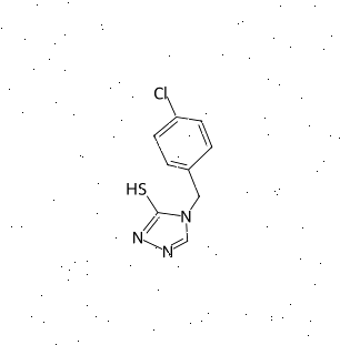 Sc1nncn1Cc1ccc(Cl)cc1